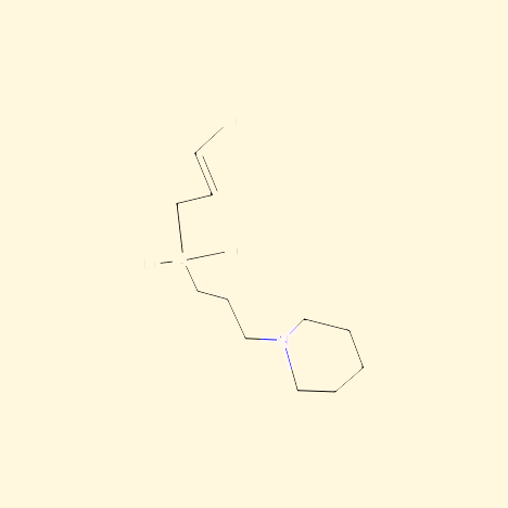 CC=CC[Si](CC)(CC)CCCN1CCCCC1